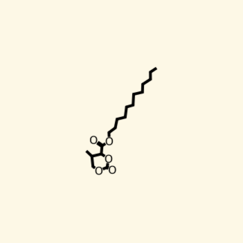 CCCCCCCCCCCCOC(=O)C1OC(=O)OCC1C